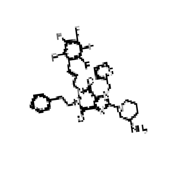 NC1CCCN(c2nc3c(=O)n(CCc4ccccc4)n(CC=Cc4c(F)c(F)c(F)c(F)c4F)c(=O)c3n2Cc2cccs2)C1